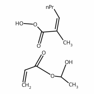 C=CC(=O)OC(C)O.CCCC=C(C)C(=O)OO